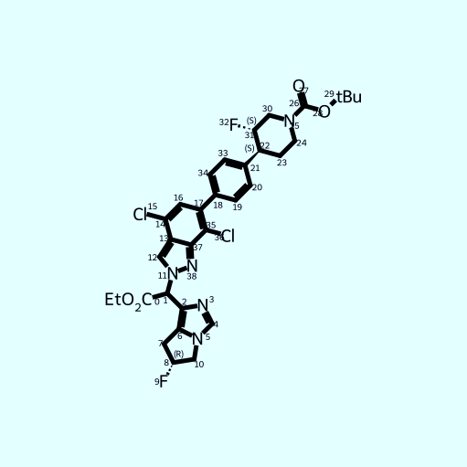 CCOC(=O)C(c1ncn2c1C[C@@H](F)C2)n1cc2c(Cl)cc(-c3ccc([C@@H]4CCN(C(=O)OC(C)(C)C)C[C@H]4F)cc3)c(Cl)c2n1